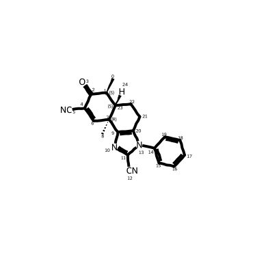 C[C@@H]1C(=O)C(C#N)=C[C@]2(C)c3nc(C#N)n(-c4ccccc4)c3CC[C@@H]12